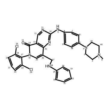 CN1CCN(c2ccc(Nc3ncc4c(=O)n(-c5c(Cl)cccc5Cl)cc(CNc5ccccc5)c4n3)cc2)CC1